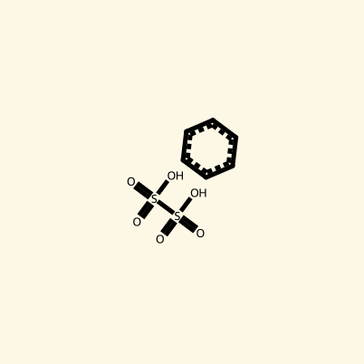 O=S(=O)(O)S(=O)(=O)O.c1ccccc1